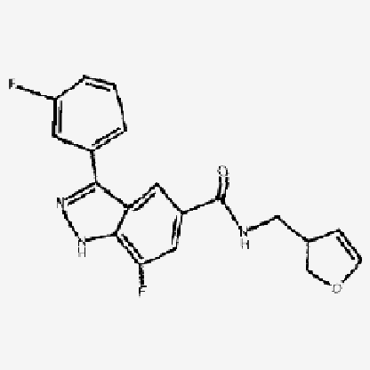 O=C(NCC1C=COC1)c1cc(F)c2[nH]nc(-c3cccc(F)c3)c2c1